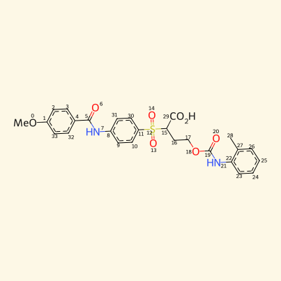 COc1ccc(C(=O)Nc2ccc(S(=O)(=O)C(CCOC(=O)Nc3ccccc3C)C(=O)O)cc2)cc1